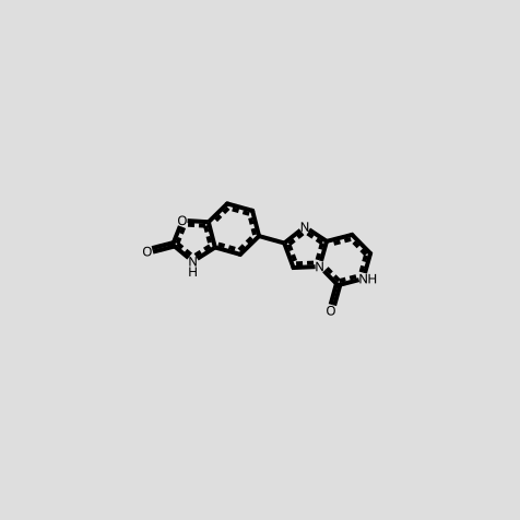 O=c1[nH]c2cc(-c3cn4c(=O)[nH]ccc4n3)ccc2o1